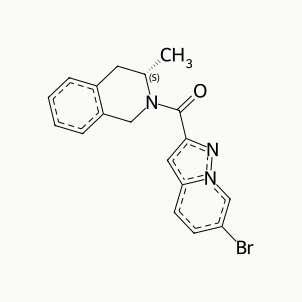 C[C@H]1Cc2ccccc2CN1C(=O)c1cc2ccc(Br)cn2n1